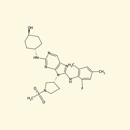 Cc1cc(C)c(Nc2nc3cnc(N[C@H]4CC[C@H](O)CC4)nc3n2[C@@H]2CCN(S(C)(=O)=O)C2)c(F)c1